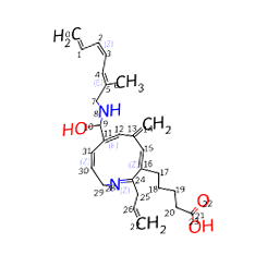 C=C/C=C\C=C(/C)CNC(O)C1=C/C(=C)/C=C(CCCCC(=O)O)\C(CC=C)=N/C/C=C\1